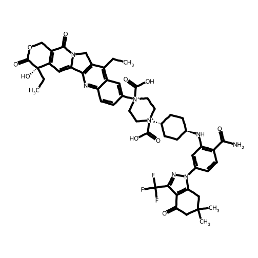 CCc1c2c(nc3ccc([N+]4(C(=O)O)CC[N+](C(=O)O)([C@H]5CC[C@H](Nc6cc(-n7nc(C(F)(F)F)c8c7CC(C)(C)CC8=O)ccc6C(N)=O)CC5)CC4)cc13)-c1cc3c(c(=O)n1C2)COC(=O)[C@]3(O)CC